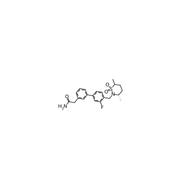 CC1CC[C@H](C)N(Cc2ccc(-c3cccc(CC(N)=O)c3)cc2F)S1(=O)=O